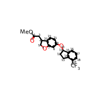 COC(=O)CC1COc2cc(OC3CCc4c3cccc4C(F)(F)F)ccc21